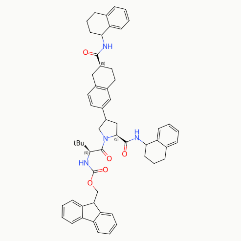 CC(C)(C)[C@H](NC(=O)OCC1c2ccccc2-c2ccccc21)C(=O)N1CC(c2ccc3c(c2)CC[C@H](C(=O)NC2CCCc4ccccc42)C3)C[C@H]1C(=O)NC1CCCc2ccccc21